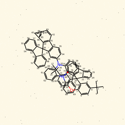 CC(C)(C)c1ccc2c(c1)C1(c3cc(C(C)(C)C)ccc3O2)c2ccccc2-c2ccc(N(c3ccc4c(c3)C3(C5=C4C=CC4=C[C@H]45)c4ccccc4-c4ccccc43)c3ccccc3-n3c4ccccc4c4ccccc43)cc21